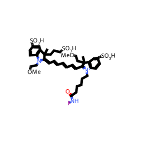 COCCN1/C(=C/C=C/C=C/C=C/C2=[N+](CCCCCC(=O)NI)c3ccc(S(=O)(=O)O)cc3C2(C)CCOC)C(C)(CCCS(=O)(=O)O)c2cc(S(=O)(=O)O)ccc21